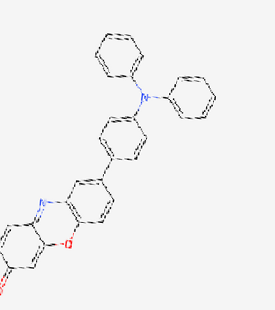 O=c1ccc2nc3cc(-c4ccc(N(c5ccccc5)c5ccccc5)cc4)ccc3oc-2c1